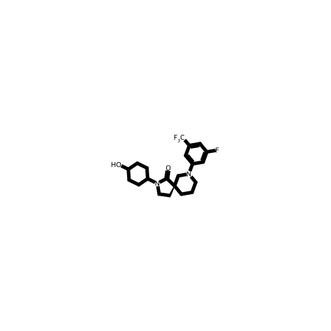 O=C1N(C2CCC(O)CC2)CC[C@@]12CCCN(c1cc(F)cc(C(F)(F)F)c1)C2